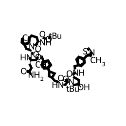 Cc1ncsc1-c1ccc(CNC(=O)[C@@H]2C[C@@H](O)CN2C(=O)[C@@H](NC(=O)CC2CC(c3ccc(CO[C@H](C)[C@H](CCC(N)=O)NC(=O)[C@@H]4Cc5cccc6c5N4C(=O)[C@@H](NC(=O)OC(C)(C)C)CC6)cc3)C2)C(C)(C)C)cc1